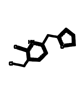 O=c1[nH]c(Cc2ccco2)ccc1CCl